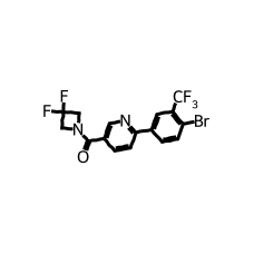 O=C(c1ccc(-c2ccc(Br)c(C(F)(F)F)c2)nc1)N1CC(F)(F)C1